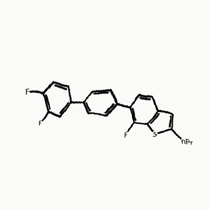 CCCc1cc2ccc(-c3ccc(-c4ccc(F)c(F)c4)cc3)c(F)c2s1